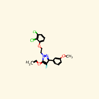 CCOc1c(F)c(-c2cccc(OC)c2)nn1CCOc1cccc(Cl)c1Cl